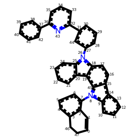 C1=Cc2c(cccc2-n2c3ccccc3c3ccc4c(c5ccccc5n4-c4cccc(-c5cccc(-c6ccccc6)n5)c4)c32)CC1